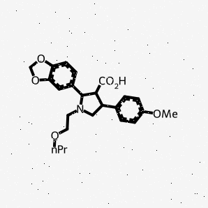 CCCOCCN1CC(c2ccc(OC)cc2)C(C(=O)O)C1c1ccc2c(c1)OCO2